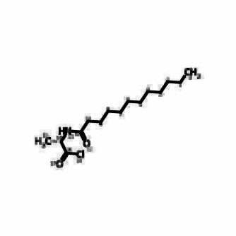 CCCCCCCCCCCC(=O)N[C@@H](C)C(=O)Cl